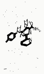 Cc1ccc(Nc2nc(-c3ccccn3)nc(C(N)=O)c2N)cc1